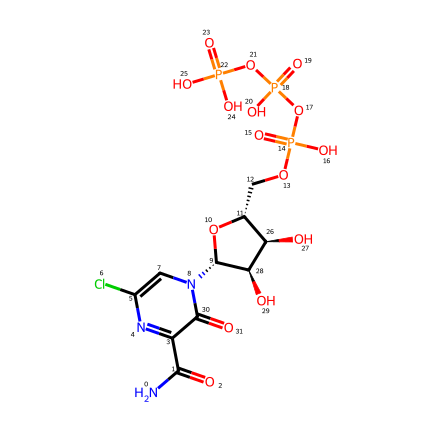 NC(=O)c1nc(Cl)cn([C@@H]2O[C@H](COP(=O)(O)OP(=O)(O)OP(=O)(O)O)[C@@H](O)[C@H]2O)c1=O